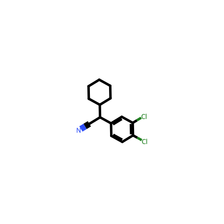 N#CC(c1ccc(Cl)c(Cl)c1)C1CCCCC1